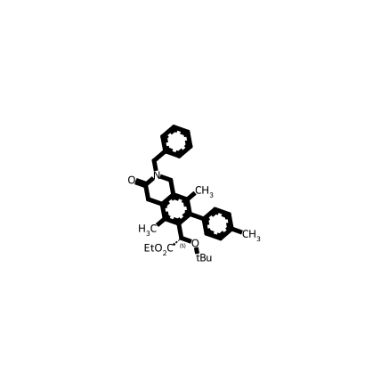 CCOC(=O)[C@@H](OC(C)(C)C)c1c(C)c2c(c(C)c1-c1ccc(C)cc1)CN(Cc1ccccc1)C(=O)C2